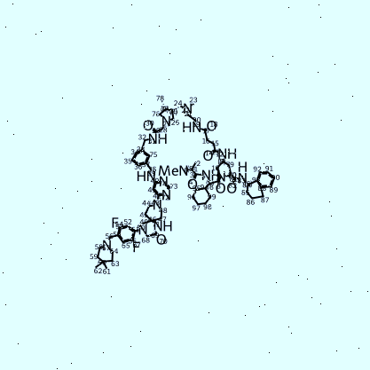 CN[C@@H](C)C(=O)N[C@H](C(=O)N1C[C@@H](NC(=O)CCC(=O)NCCN(C)C[C@@H]2CN(CC(=O)NCc3cccc(CNc4cc(N5CCC6(CC5)CN(c5cc(F)c(CN7CCC(C)(C)CC7)cc5F)CC(=O)N6)ncn4)c3)C[C@@H]2C)C[C@H]1C(=O)N[C@H]1CCCc2ccccc21)C1CCCCC1